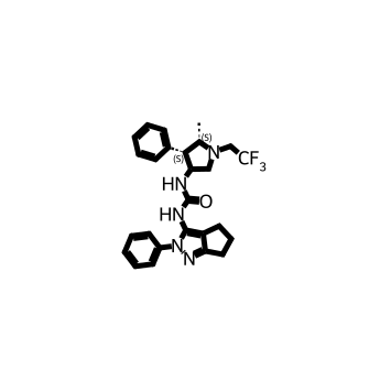 C[C@H]1[C@@H](c2ccccc2)C(NC(=O)Nc2c3c(nn2-c2ccccc2)CCC3)CN1CC(F)(F)F